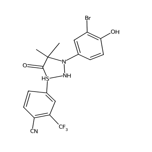 CC1(C)C(=O)[SH](c2ccc(C#N)c(C(F)(F)F)c2)NN1c1ccc(O)c(Br)c1